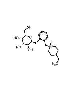 CCC1CC[N+]([O-])(Cc2ccccc2O[C@@H]2O[C@H](CO)[C@@H](O)[C@@H](O)[C@@H]2O)CC1